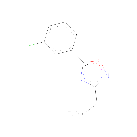 CCOC(=O)Cc1noc(-c2cccc(Cl)c2)n1